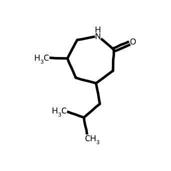 CC(C)CC1CC(=O)NCC(C)C1